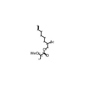 C=CCCCCC(COC(=O)C(C)OC)C(C)=O